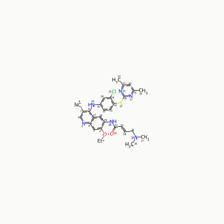 CCOc1cc2ncc(C#N)c(Nc3ccc(Sc4nc(C)cc(C)n4)c(Cl)c3)c2cc1NC(=O)C=CCN(C)C